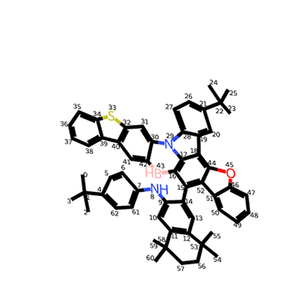 CC(C)(C)c1ccc(Nc2cc3c(cc2-c2c4c5c(c6cc(C(C)(C)C)ccc6n5-c5cc6sc7ccccc7c6cc5B4)c4oc5ccccc5c24)C(C)(C)CCC3(C)C)cc1